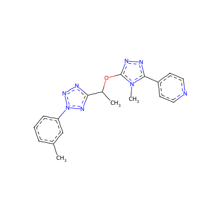 Cc1cccc(-n2nnc(C(C)Oc3nnc(-c4ccncc4)n3C)n2)c1